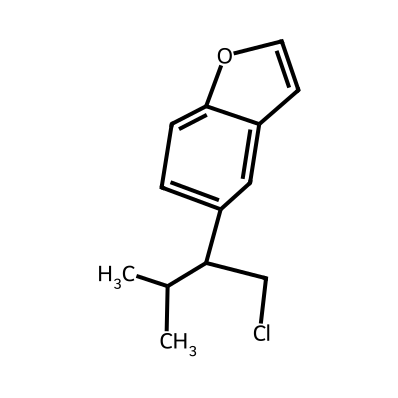 CC(C)C(CCl)c1ccc2occc2c1